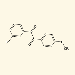 O=C(C(=O)c1cccc(Br)c1)c1ccc(OC(F)(F)F)cc1